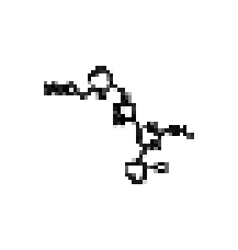 COCc1cccc(Cn2cc(-c3cc(-c4ccccc4Cl)nc(N)n3)nn2)n1